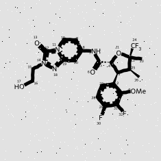 COc1c([C@H]2[C@H](C(=O)Nc3ccn4c(=O)n(CCO)nc4c3)O[C@@](C)(C(F)(F)F)[C@H]2C)ccc(F)c1F